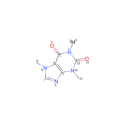 [2H]n1c(=O)c2c(ncn2C)n(C)c1=O